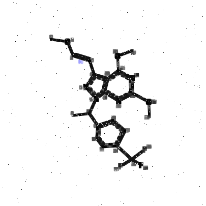 CO/C=C/c1nn(C(C)c2ccc(C(F)(F)F)cc2)c2nc(OC)nc(OC)c12